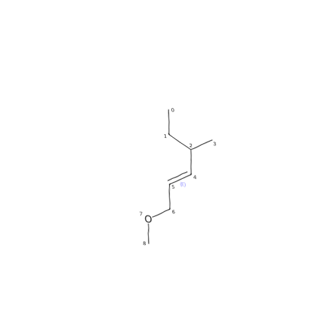 CCC(C)/C=C/COC